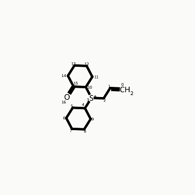 C=CC[S+](C1CCCCC1)C1CCCCC1=O